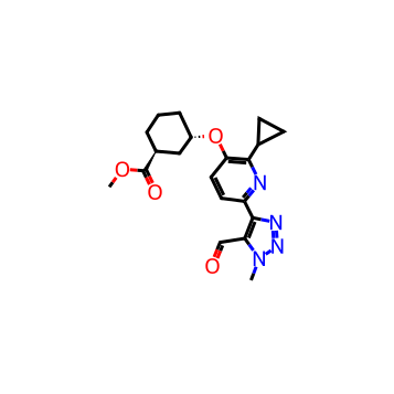 COC(=O)[C@H]1CCC[C@H](Oc2ccc(-c3nnn(C)c3C=O)nc2C2CC2)C1